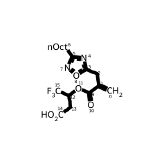 C=C(Cc1nc(CCCCCCCC)no1)C(=O)OC(CC(=O)O)C(F)(F)F